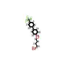 FC(F)(F)c1ccc(-c2ccc(OCCCCBr)cc2)cc1